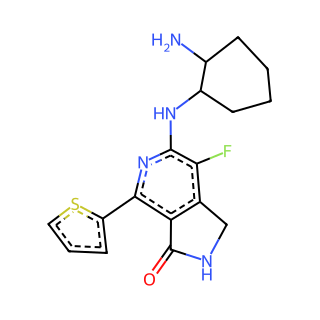 NC1CCCCC1Nc1nc(-c2cccs2)c2c(c1F)CNC2=O